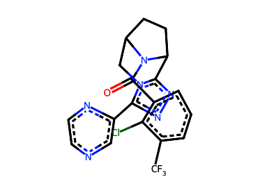 O=C(c1cccc(C(F)(F)F)c1Cl)N1C2CCC1c1nnc(-c3cnccn3)n1C2